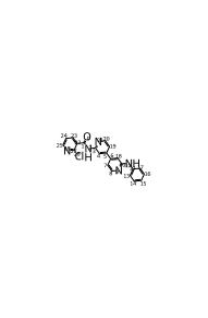 O=C(Nc1cc(-c2ccnc(Nc3ccccc3)c2)ccn1)c1cccnc1Cl